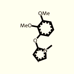 COc1cccc(Oc2c[c]cn2C)c1OC